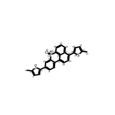 Cc1ccc(-c2ccc3c(c2)[PH](=O)c2cccc4c(-c5ccc(C)s5)ccc-3c24)s1